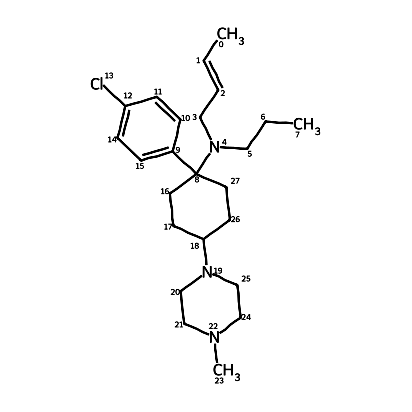 CC=CCN(CCC)C1(c2ccc(Cl)cc2)CCC(N2CCN(C)CC2)CC1